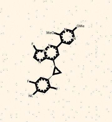 COc1ncc(-c2cc([C@H]3C[C@@H]3c3cc(F)c(C#N)cc3F)c3ncc(F)n3n2)c(OC)n1